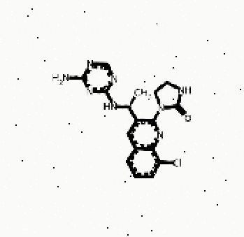 C[C@H](Nc1ncnc(N)n1)c1cc2cccc(Cl)c2nc1N1CCNC1=O